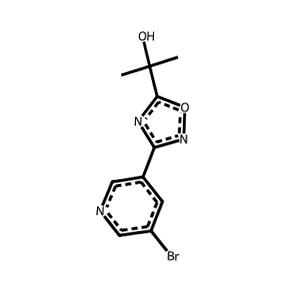 CC(C)(O)c1nc(-c2cncc(Br)c2)no1